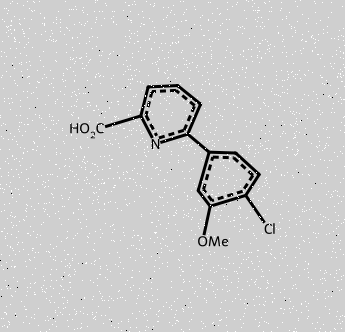 COc1cc(-c2cccc(C(=O)O)n2)ccc1Cl